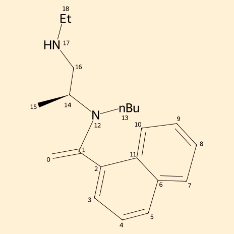 C=C(c1cccc2ccccc12)N(CCCC)[C@@H](C)CNCC